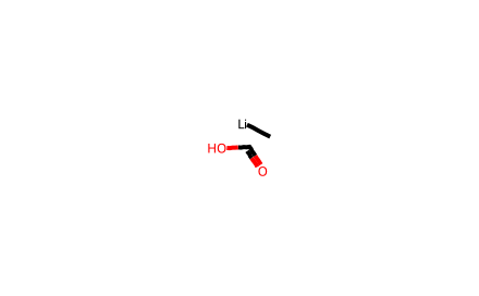 O=CO.[Li][CH3]